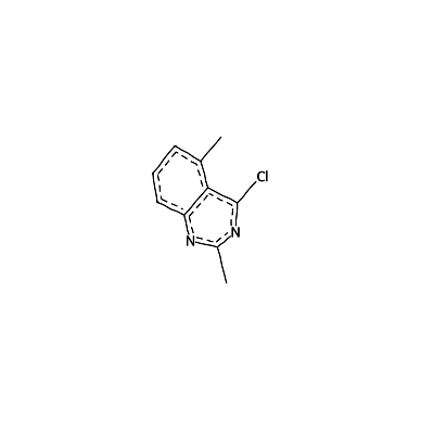 Cc1nc(Cl)c2c(C)cccc2n1